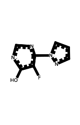 Oc1ncnc(-n2cccn2)c1F